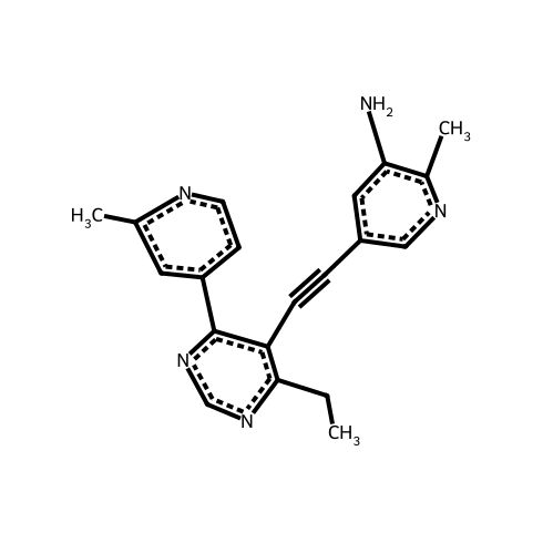 CCc1ncnc(-c2ccnc(C)c2)c1C#Cc1cnc(C)c(N)c1